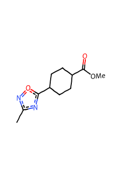 COC(=O)C1CCC(c2nc(C)no2)CC1